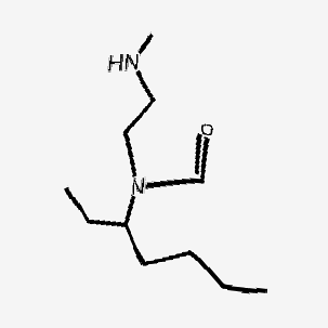 CCCCC(CC)N(C=O)CCNC